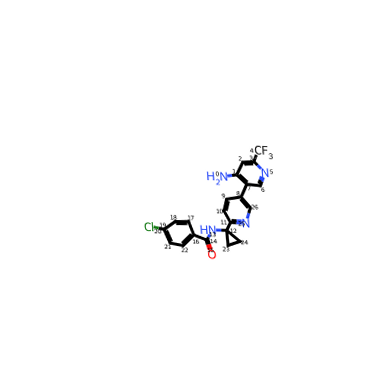 Nc1cc(C(F)(F)F)ncc1-c1ccc(C2(NC(=O)c3ccc(Cl)cc3)CC2)nc1